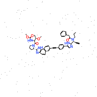 C#C[C@@H](c1ncc(-c2ccc(C#Cc3ccc4c(ccc5nc([C@@H]6CCCN6C(=O)[C@@H](NC(=O)OC)[C@@H](C)OC)[nH]c54)c3)cc2)[nH]1)N(CCC)C(=O)Cc1ccccc1